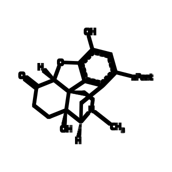 CCCCCc1cc(O)c2c3c1C[C@H]1N(C)CC[C@@]34[C@@H](O2)C(=O)CC[C@@]14O